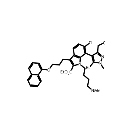 CCOC(=O)c1c(CCCOc2cccc3ccccc23)c2ccc(Cl)c(-c3c(CCl)nn(C)c3CC)c2n1CCCCNC